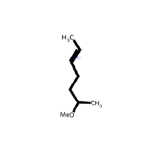 C/[C]=C/CCC(C)OC